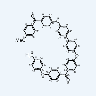 COc1ccc(C(=O)c2ccc(Oc3ccc(-c4ccc(Oc5ccc(C(=O)c6ccc(Oc7ccc(C)cc7)cc6)cc5)cc4)cc3)cc2)cc1